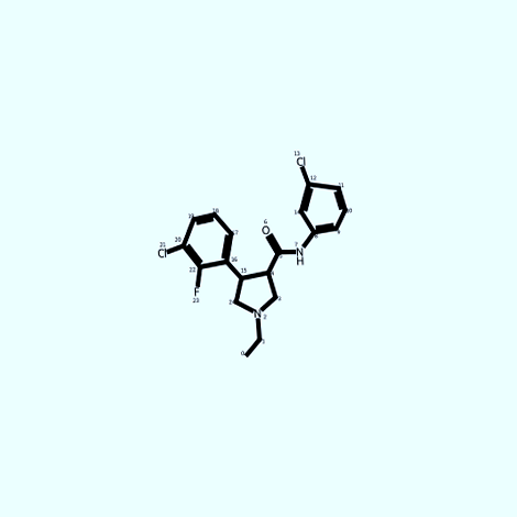 CCN1CC(C(=O)Nc2cccc(Cl)c2)C(c2cccc(Cl)c2F)C1